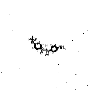 Nc1ccc(NNC(=O)c2ccc(OC(F)(F)F)cc2)cc1